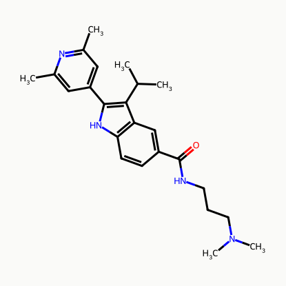 Cc1cc(-c2[nH]c3ccc(C(=O)NCCCN(C)C)cc3c2C(C)C)cc(C)n1